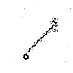 CC(NCC(O)COCCOCCOCCOCCOCCOc1ccccc1)C(=O)O